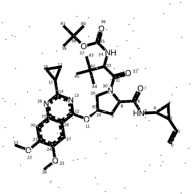 C=CC1CC1NC(=O)C1C[C@@H](Oc2nc(C3CC3)nc3cc(OC)c(OC)cc23)CN1C(=O)C(NC(=O)OC(C)(C)C)C(C)(C)C